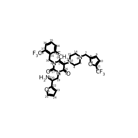 Cc1c(N2CCN(Cc3ccc(C(F)(F)F)o3)CC2)c(=O)n(CC(N)c2ccco2)c(=O)n1Cc1c(F)cccc1C(F)(F)F